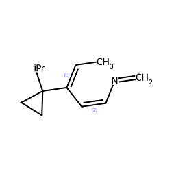 C=N/C=C\C(=C/C)C1(C(C)C)CC1